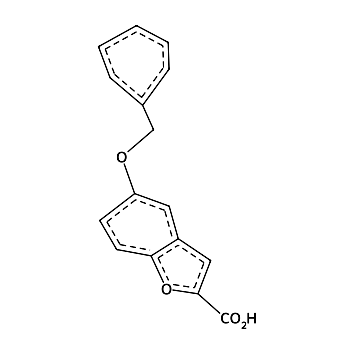 O=C(O)c1cc2cc(OCc3ccccc3)ccc2o1